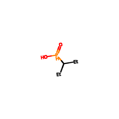 CCC(CC)[PH](=O)O